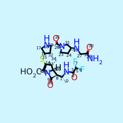 C[C@@H](NC(=O)C(F)F)[C@H]1C(=O)N2C(C(=O)O)=C(S[C@@H]3CN[C@H](C(=O)N4CC[C@H](NCC(N)=O)C4)C3)[C@H](C)[C@@H]12